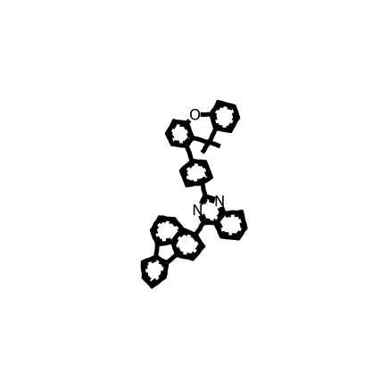 CC1(C)c2ccccc2Oc2cccc(-c3ccc(-c4nc(-c5ccc6c7c(cccc57)-c5ccccc5-6)c5ccccc5n4)cc3)c21